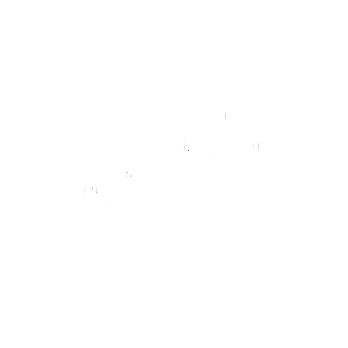 C=C(C)C(=O)NCCN1CNC(=O)C1